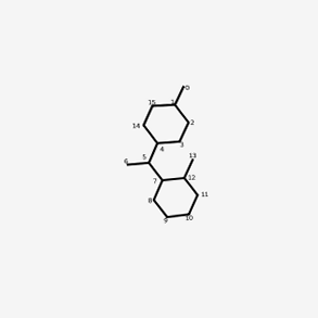 CC1CCC(C(C)C2CCCCC2C)CC1